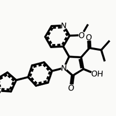 COc1ncccc1C1C(C(=O)C(C)C)=C(O)C(=O)N1c1ccc(-c2ccsc2)cc1